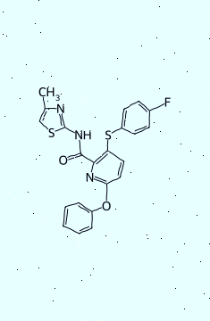 Cc1csc(NC(=O)c2nc(Oc3ccccc3)ccc2Sc2ccc(F)cc2)n1